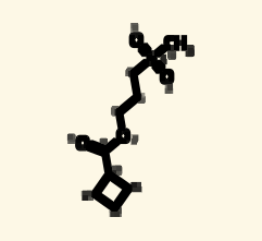 CS(=O)(=O)CCCOC(=O)C1CCC1